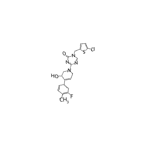 Cc1ccc(C2=CCN(c3ncn(Cc4ccc(Cl)s4)c(=O)n3)CC2O)cc1F